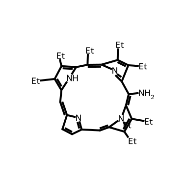 CCC1=C(CC)c2nc1c(CC)c1[nH]c(cc3nc(cc4c(CC)c(CC)c(c2N)n4CC)C=C3)c(CC)c1CC